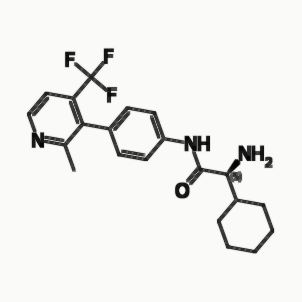 Cc1nccc(C(F)(F)F)c1-c1ccc(NC(=O)[C@@H](N)C2CCCCC2)cc1